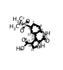 CN(C)S(=O)(=O)c1ccc2[nH]c(=O)c3[nH]cc(C(=O)O)c3c2c1